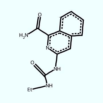 CCNC(=O)Nc1cc2ccc[c]c2c(C(N)=O)n1